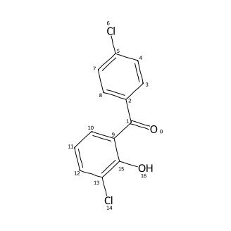 O=C(c1ccc(Cl)cc1)c1cccc(Cl)c1O